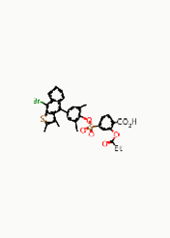 CCC(=O)Oc1cc(S(=O)(=O)Oc2c(C)cc(-c3c4ccccc4c(Br)c4sc(C)c(C)c34)cc2C)ccc1C(=O)O